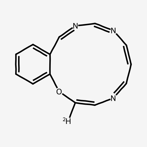 [2H]c1cncccncncc2ccccc2o1